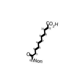 CCCCCCCCCC(=O)CC=CC=CC=CC=CC(=O)O